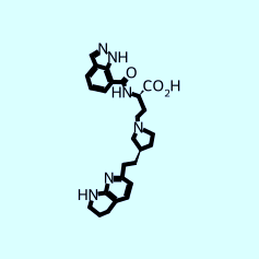 O=C(N[C@@H](CCN1CC[C@@H](CCc2ccc3c(n2)NCCC3)C1)C(=O)O)c1cccc2cn[nH]c12